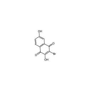 O=C1C(O)=C(Br)C(=O)c2cc(O)ccc21